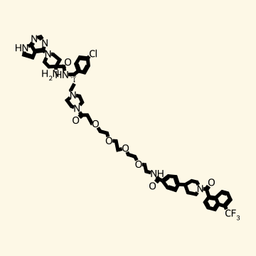 NC1(C(=O)N[C@@H](CCN2CCN(C(=O)CCOCCOCCOCCOCCNC(=O)c3ccc(C4CCN(C(=O)c5cccc6c(C(F)(F)F)cccc56)CC4)cc3)CC2)c2ccc(Cl)cc2)CCN(c2ncnc3[nH]ccc23)CC1